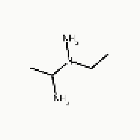 CCN(N)C(C)N